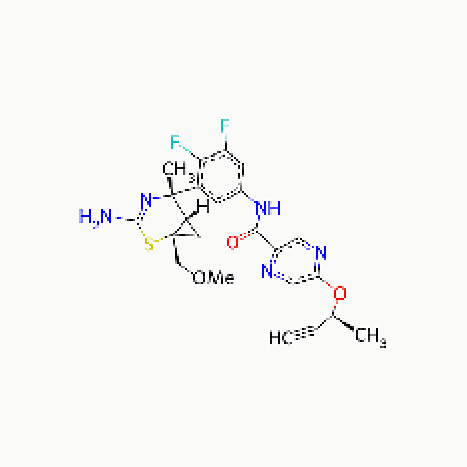 C#C[C@H](C)Oc1cnc(C(=O)Nc2cc(F)c(F)c([C@@]3(C)N=C(N)S[C@@]4(COC)C[C@H]43)c2)cn1